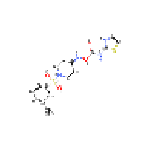 O=C(Nc1nccs1)ON=C1CCN(S(=O)(=O)c2cccc(C(F)(F)F)c2)CC1